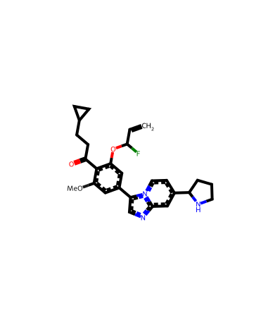 C=CC(F)Oc1cc(-c2cnc3cc(C4CCCN4)ccn23)cc(OC)c1C(=O)CCC1CC1